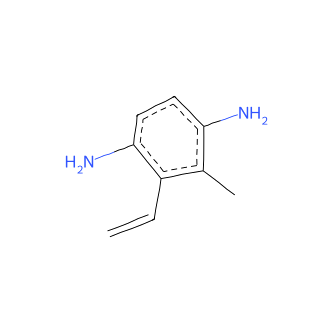 C=Cc1c(N)ccc(N)c1C